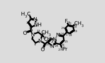 Cc1cc(C(=O)N2CCN(C(=O)c3cn4nc(-c5ccc(C)c(F)c5)cc(C(C)C)c4n3)C(C)(C)C2)[nH]n1